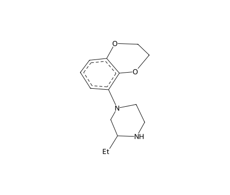 CCC1CN(c2cccc3c2OCCO3)CCN1